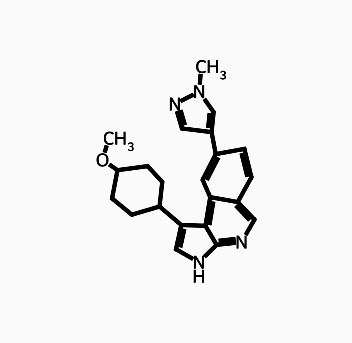 COC1CCC(c2c[nH]c3ncc4ccc(-c5cnn(C)c5)cc4c23)CC1